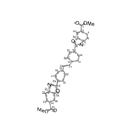 COC(=O)c1ccc2nc(-c3ccc(C=Cc4ccc(-c5nc6ccc(C(=O)OC)cc6o5)cc4)cc3)oc2c1